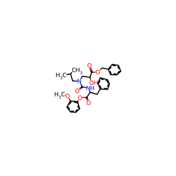 COc1ccccc1OC(=O)C(Cc1ccccc1)NC(=O)N(CC(C)C)CC(O)C(=O)OCc1ccccc1